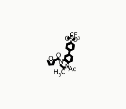 CC(=O)N1c2ccc(-c3ccc(S(=O)(=O)C(F)(F)F)cc3)cc2N(C(=O)c2ccco2)CC1C